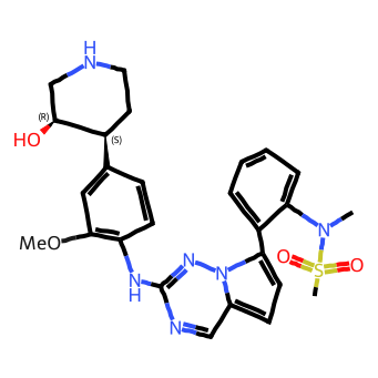 COc1cc([C@@H]2CCNC[C@@H]2O)ccc1Nc1ncc2ccc(-c3ccccc3N(C)S(C)(=O)=O)n2n1